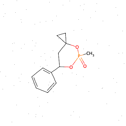 CP1(=O)OC(c2ccccc2)CC2(CC2)O1